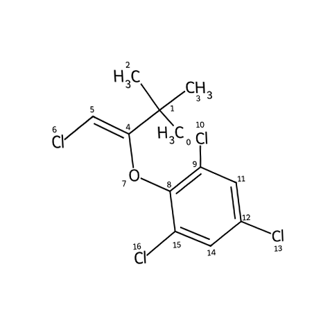 CC(C)(C)/C(=C/Cl)Oc1c(Cl)cc(Cl)cc1Cl